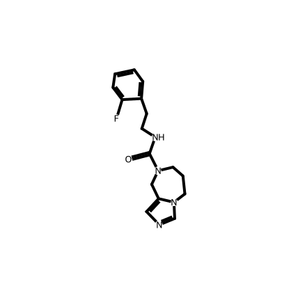 O=C(NCCc1ccccc1F)N1CCCn2cncc2C1